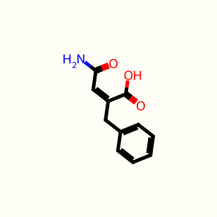 NC(=O)/C=C(/Cc1ccccc1)C(=O)O